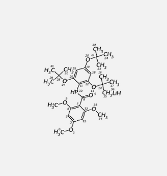 COc1cc(OC)c(C(=O)Pc2c(OC(C)(C)C)cc(OC(C)(C)C)cc2OC(C)(C)C)c(OC)c1.[LiH]